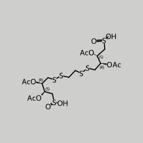 CC(=O)O[C@@H](CSSCCSSC[C@H](OC(C)=O)[C@@H](CS(=O)O)OC(C)=O)[C@@H](CS(=O)O)OC(C)=O